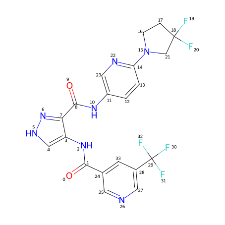 O=C(Nc1c[nH]nc1C(=O)Nc1ccc(N2CCC(F)(F)C2)nc1)c1cncc(C(F)(F)F)c1